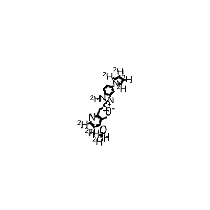 [2H]c1nc(C[S+]([O-])c2nc3cc(-n4c([2H])c([2H])c([2H])c4[2H])ccc3n2[2H])c(C)c(OC([2H])([2H])[2H])c1[2H]